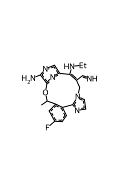 CCN/C1=C(\C=N)Cn2ccnc2-c2ccc(F)cc2C(C)Oc2nc1cnc2N